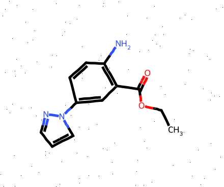 CCOC(=O)c1cc(-n2cccn2)ccc1N